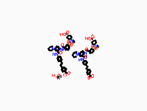 CCN([C@H]1CC[C@H](C(=O)O)CC1)S(=O)(=O)c1cccc(C(=O)Nc2ccc(N3CCCCC3)cc2C(=O)Nc2ccc(CCc3ccc(C(=O)[O-])cc3)cc2)c1.CCN([C@H]1CC[C@H](C(=O)O)CC1)S(=O)(=O)c1cccc(C(=O)Nc2ccc(N3CCCCC3)cc2C(=O)Nc2ccc(CCc3ccc(C(=O)[O-])cc3)cc2)c1.O.[K+].[K+]